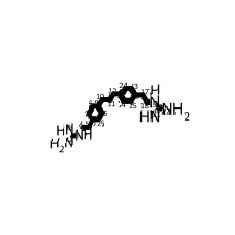 N=C(N)NCCc1ccc(CCCc2ccc(CCNC(=N)N)cc2)cc1